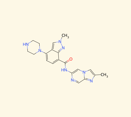 Cc1cn2cc(NC(=O)c3ccc(N4CCNCC4)c4cn(C)nc34)ncc2n1